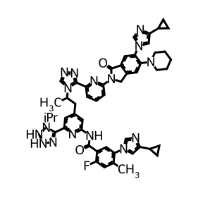 Cc1cc(F)c(C(=O)Nc2cc(CC(C)n3cnnc3-c3cccc(N4Cc5cc(N6CCCCC6)c(-n6cnc(C7CC7)c6)cc5C4=O)n3)cc(C3=NNNN3C(C)C)n2)cc1-n1cnc(C2CC2)c1